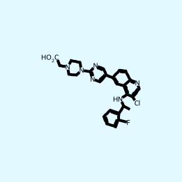 CC(Nc1c(Cl)cnc2ccc(-c3cnc(N4CCN(CC(=O)O)CC4)nc3)cc12)c1ccccc1F